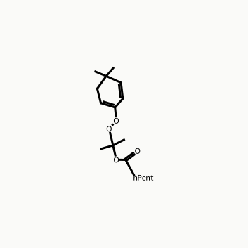 CCCCCC(=O)OC(C)(C)OOC1=CCC(C)(C)C=C1